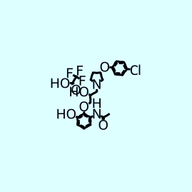 CC(=O)Nc1cccc(O)c1OCC(O)CN1CCC(Oc2ccc(Cl)cc2)C1.O=C(O)C(F)(F)F